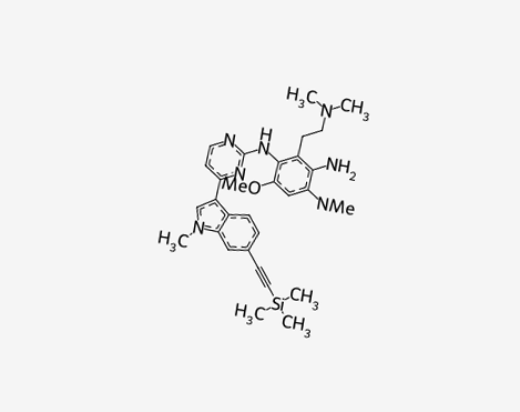 CNc1cc(OC)c(Nc2nccc(-c3cn(C)c4cc(C#C[Si](C)(C)C)ccc34)n2)c(CCN(C)C)c1N